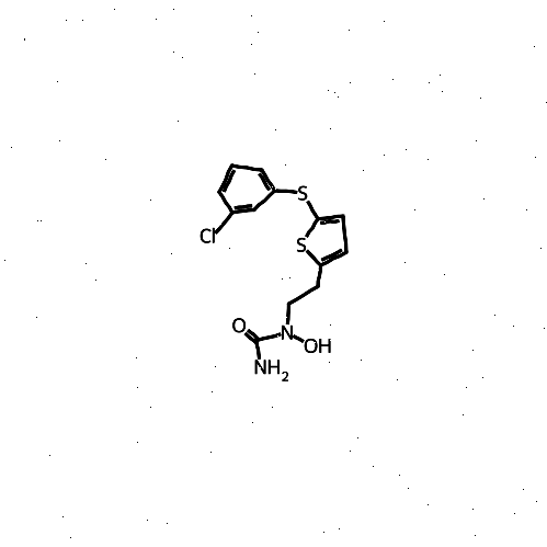 NC(=O)N(O)CCc1ccc(Sc2cccc(Cl)c2)s1